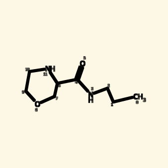 CCCNC(=O)C1COCCN1